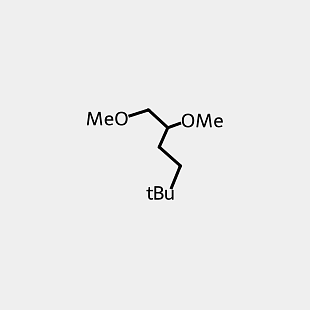 COCC(CCC(C)(C)C)OC